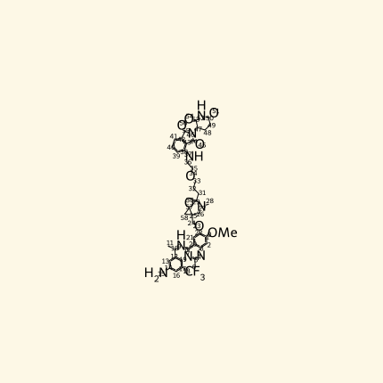 COc1cc2nc(C)nc(N[C@H](C)c3cc(N)cc(C(F)(F)F)c3)c2cc1OCC1(CN(C)C(=O)CCCOCCNc2cccc3c2C(=O)N(C2CCC(=O)NC2=O)C3=O)CC1